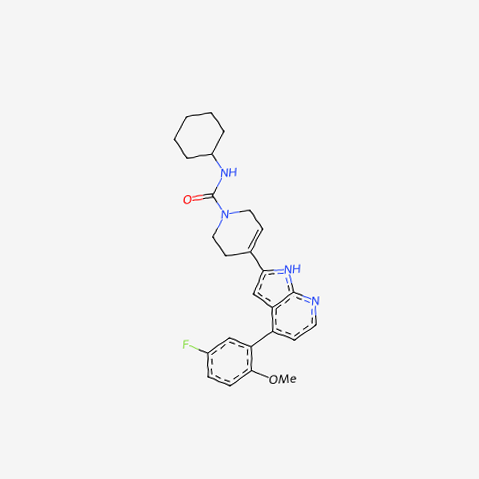 COc1ccc(F)cc1-c1ccnc2[nH]c(C3=CCN(C(=O)NC4CCCCC4)CC3)cc12